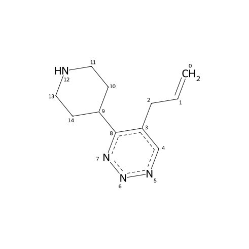 C=CCc1cnnnc1C1CCNCC1